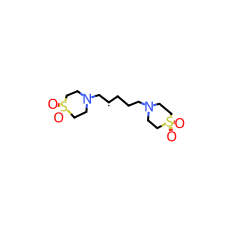 O=S1(=O)CCN(C[CH]CCCN2CCS(=O)(=O)CC2)CC1